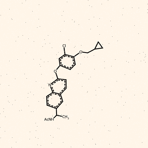 CC(=O)NC(C)c1ccc2nc(Oc3ccc(OCC4CC4)c(Cl)c3)ccc2c1